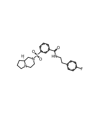 O=C(NCCc1ccc(F)cc1)c1cccc(S(=O)(=O)N2CCN3CCC[C@H]3C2)c1